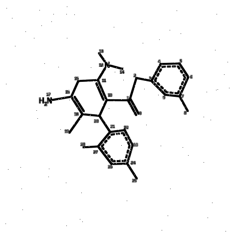 C=C(Cc1cccc(C)c1)C1=C(N(C)C)CC(N)=C(C)C1c1ccc(C)cc1C